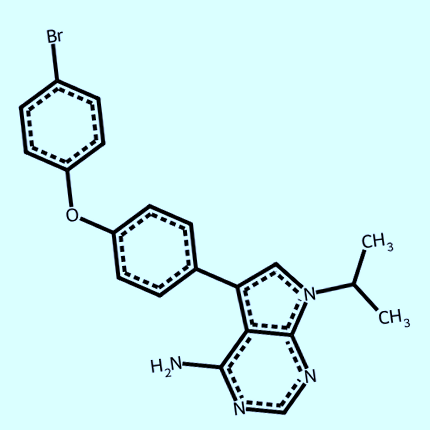 CC(C)n1cc(-c2ccc(Oc3ccc(Br)cc3)cc2)c2c(N)ncnc21